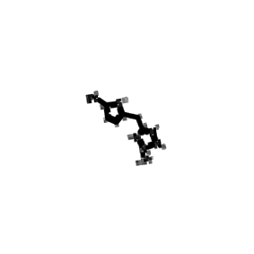 CC(C)c1ccc(Cc2nnn(C(C)C)n2)s1